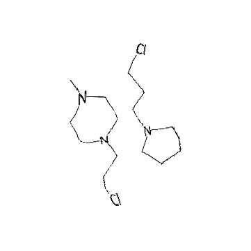 CN1CCN(CCCl)CC1.ClCCCN1CCCC1